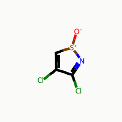 [O-][s+]1cc(Cl)c(Cl)n1